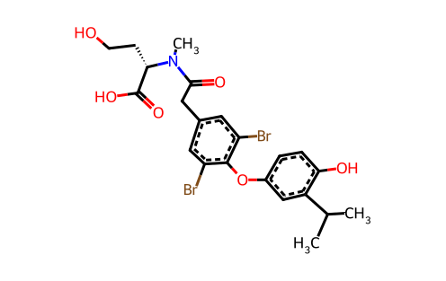 CC(C)c1cc(Oc2c(Br)cc(CC(=O)N(C)[C@@H](CCO)C(=O)O)cc2Br)ccc1O